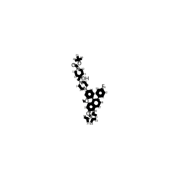 COc1cc(N2CCN(CC3(O)CCN(C(=O)OC(C)(C)C)CC3)CC2)ccc1[C@@H]1c2ccc(O[Si](C(C)C)(C(C)C)C(C)C)cc2CC[C@@H]1c1ccc(F)cc1